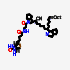 CCCCCCCC/C=C\CCCC(CCCC/C=C(\C#N)c1cn(C(=O)CCNC(=O)CCCC[C@H]2SC[C@H]3NC(=O)N[C@H]32)c2ccccc12)c1nccc2ccccc12